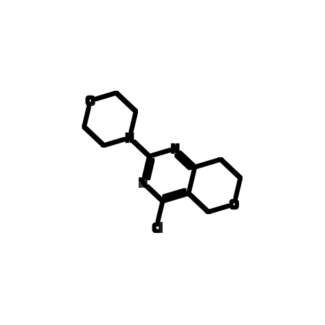 Clc1nc(N2CCOCC2)nc2c1COCC2